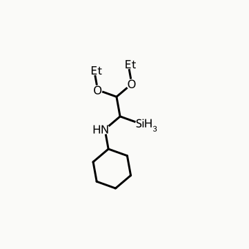 CCOC(OCC)C([SiH3])NC1CCCCC1